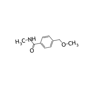 CNC(=O)c1ccc(COC)cc1